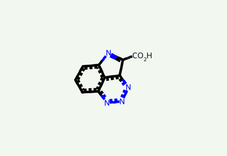 O=C(O)C1=Nc2cccc3nnnc1c23